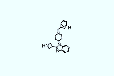 C1=C[C@@H]2CC1C(CN1CCC(n3c(C4CNC4)nc4ccccc43)CC1)C2